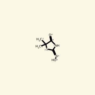 CC1(C)S/C(=N\O)NC1=O